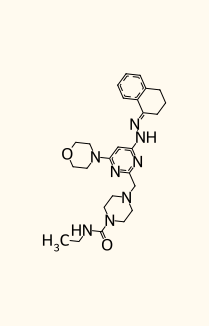 CCNC(=O)N1CCN(Cc2nc(NN=C3CCCc4ccccc43)cc(N3CCOCC3)n2)CC1